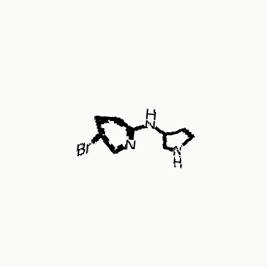 Brc1ccc(NC2CCNC2)nc1